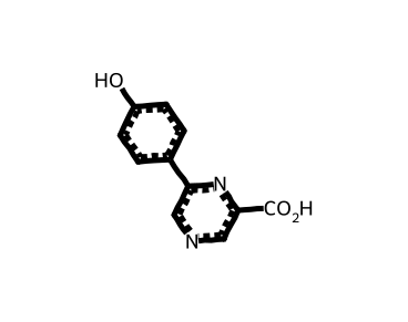 O=C(O)c1cncc(-c2ccc(O)cc2)n1